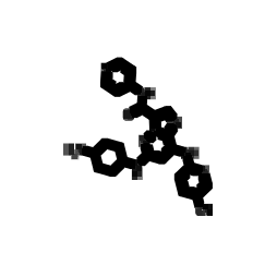 N#Cc1ccc(Nc2cc(NC3CCC(N)CC3)nn3c(C(=O)Nc4ccncc4)cnc23)nc1